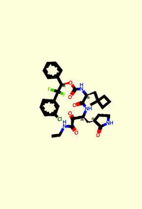 CCNC(=O)C(=O)[C@H](C[C@@H]1CCNC1=O)NC(=O)[C@H](CC1(C)CCC1)NC(=O)O[C@H](c1ccccc1)C(F)(F)c1cccc(Cl)c1